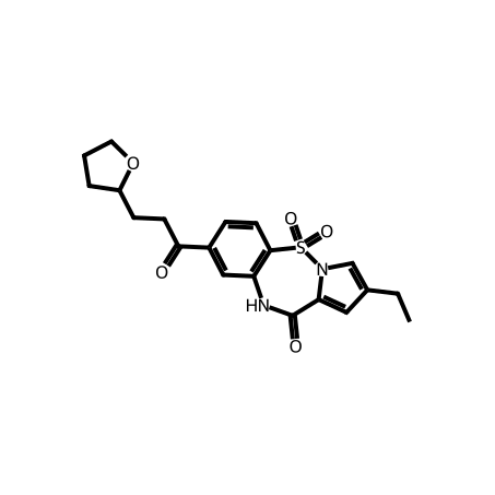 CCc1cc2n(c1)S(=O)(=O)c1ccc(C(=O)CCC3CCCO3)cc1NC2=O